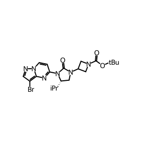 CC(C)[C@H]1CN(C2CN(C(=O)OC(C)(C)C)C2)C(=O)N1c1ccn2ncc(Br)c2n1